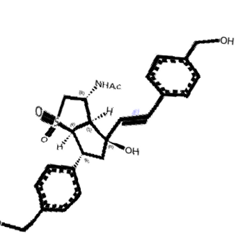 CC(=O)N[C@H]1CS(=O)(=O)[C@H]2[C@@H]1[C@](O)(/C=C/c1ccc(CO)cc1)C[C@@H]2c1ccc(CO)cc1